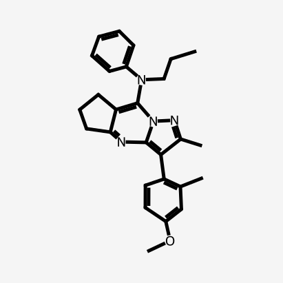 CCCN(c1ccccc1)c1c2c(nc3c(-c4ccc(OC)cc4C)c(C)nn13)CCC2